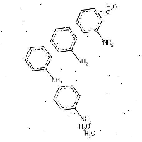 Nc1ccccc1.Nc1ccccc1.Nc1ccccc1.Nc1ccccc1.O.O.O.O